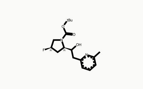 Cc1cccc(CC(O)[C@H]2C[C@@H](F)CN2C(=O)OC(C)(C)C)n1